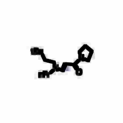 CCCN(/C=C/C(=O)N1CCCC1)CCC(C)(C)C